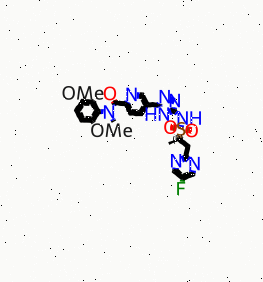 COc1cccc(OC)c1N(C)C(=O)c1ccc(-c2nnc(NS(=O)(=O)[C@H](C)Cc3ncc(F)cn3)[nH]2)cn1